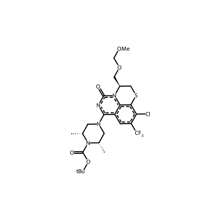 COCOC[C@H]1CSc2c(Cl)c(C(F)(F)F)cc3c(N4C[C@@H](C)N(C(=O)OC(C)(C)C)[C@@H](C)C4)nc(=O)n1c23